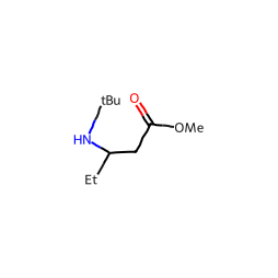 CCC(CC(=O)OC)NC(C)(C)C